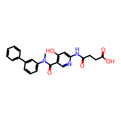 CN(C(=O)c1cnc(NC(=O)CCC(=O)O)cc1O)c1cccc(-c2ccccc2)c1